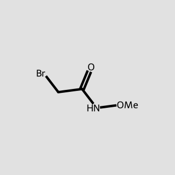 CONC(=O)CBr